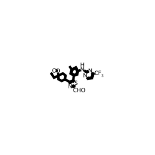 Cc1cc(Nc2nccc(C(F)(F)F)n2)cc(-c2sc(C=O)nc2C2CCC3(CCOO3)CC2)c1